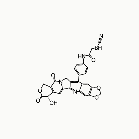 N#CBCC(=O)Nc1ccc(-c2c3c(nc4cc5c(cc24)OCO5)-c2cc4c(c(=O)n2C3)COC(=O)[C@H]4O)cc1